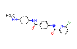 O=C(O)NC1CCC(NC(=O)c2ccc(NC(=O)c3cccc(Br)n3)cc2)CC1